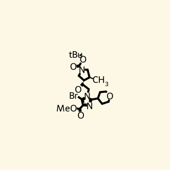 COC(=O)c1nc(C2CCOCC2)n(CC(=O)[C@@H]2CN(C(=O)OC(C)(C)C)C[C@H]2C)c1Br